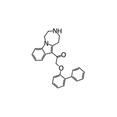 O=C(COc1ccccc1-c1ccccc1)c1c2n(c3ccccc13)CCNCC2